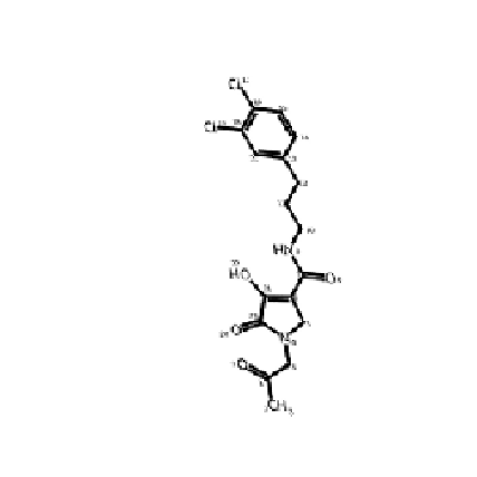 CC(=O)CN1CC(C(=O)NCCCc2ccc(Cl)c(Cl)c2)=C(O)C1=O